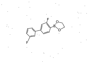 Fc1cccc(-c2ccc(B3OCCO3)c(F)c2)c1